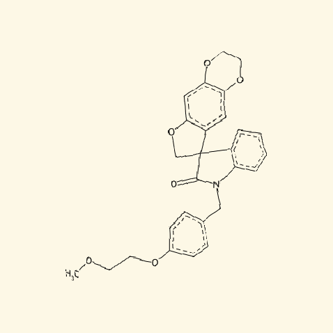 COCCOc1ccc(CN2C(=O)C3(COc4cc5c(cc43)OCCO5)c3ccccc32)cc1